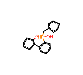 O[PH]1(Cc2ccccc2)Oc2ccccc2-c2ccccc21